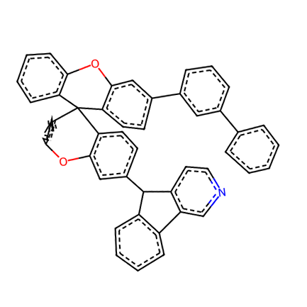 c1ccc(-c2cccc(-c3ccc4c(c3)Oc3ccccc3C43c4ccccc4Oc4cc(C5c6ccccc6-c6cnccc65)ccc43)c2)cc1